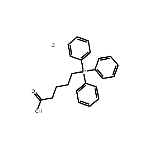 O=C(O)CCCC[P+](c1ccccc1)(c1ccccc1)c1ccccc1.[Cl-]